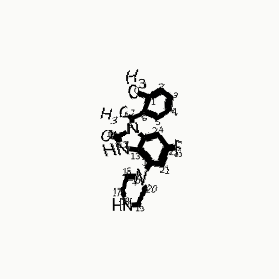 Cc1ccccc1C(C)n1c(=O)[nH]c2c(N3CCNCC3)cc(F)cc21